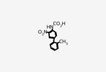 Cc1ccccc1-c1ccc(NC(=O)O)c([N+](=O)[O-])c1